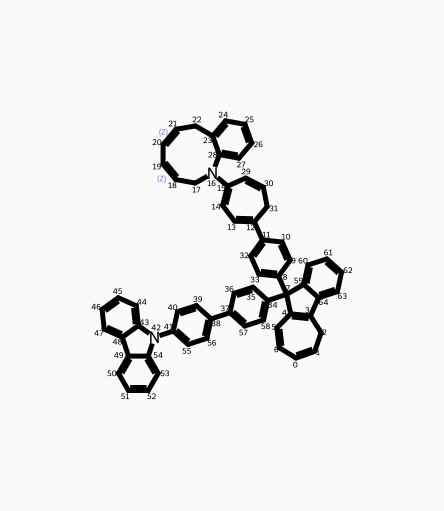 C1=CCC2=C(C=C1)C(c1ccc(C3=CC=C(N4C/C=C\C=C/Cc5ccccc54)C=CC3)cc1)(c1ccc(-c3ccc(-n4c5ccccc5c5ccccc54)cc3)cc1)c1ccccc12